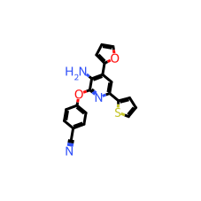 N#Cc1ccc(Oc2nc(-c3cccs3)cc(-c3ccco3)c2N)cc1